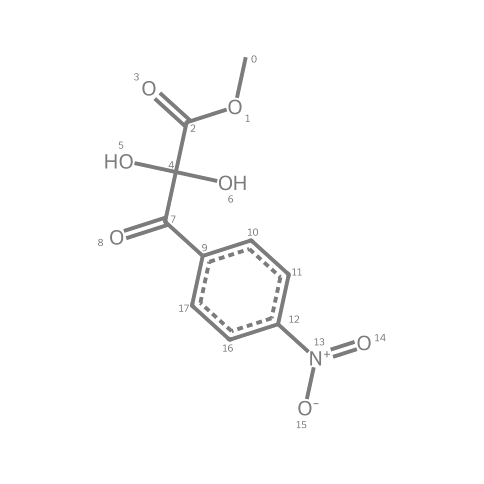 COC(=O)C(O)(O)C(=O)c1ccc([N+](=O)[O-])cc1